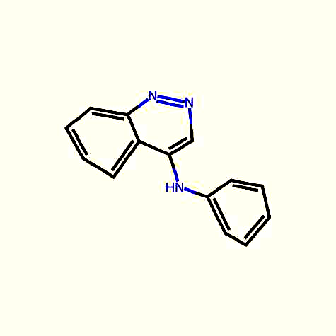 c1ccc(Nc2cnnc3ccccc23)cc1